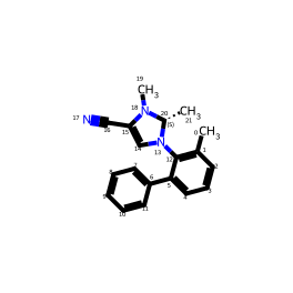 Cc1cccc(-c2ccccc2)c1N1C=C(C#N)N(C)[C@@H]1C